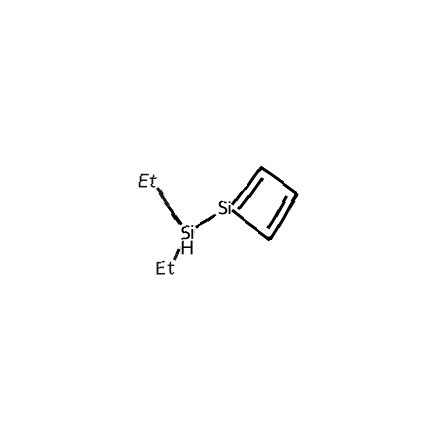 CC[SiH](CC)[Si]1=CC=C1